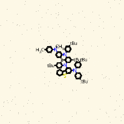 Cc1ccc(N(C)c2ccc3c(c2)N(c2ccc(C(C)(C)C)cc2)c2cc(C(C)(C)C)cc4c2B3c2cc(C(C)(C)C)ccc2N4c2cc(N(c3ccc(C(C)(C)C)cc3)c3ccc(C(C)(C)C)cc3)cc3sc4ccccc4c23)cc1